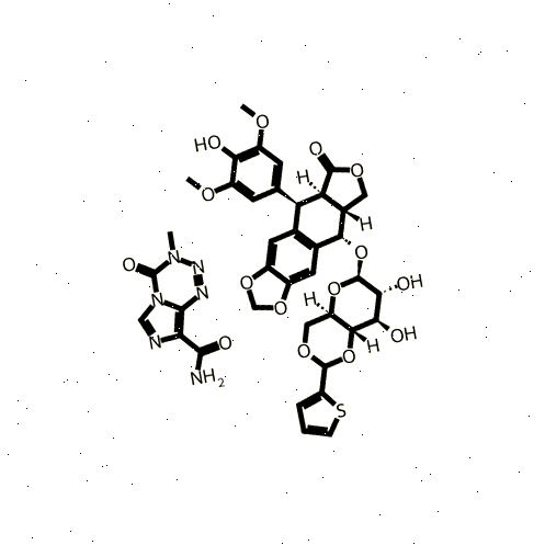 COc1cc([C@@H]2c3cc4c(cc3[C@@H](O[C@@H]3O[C@@H]5COC(c6cccs6)O[C@H]5[C@H](O)[C@H]3O)[C@H]3COC(=O)[C@H]23)OCO4)cc(OC)c1O.Cn1nnc2c(C(N)=O)ncn2c1=O